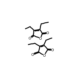 CCC1=C(CC)C(=O)OC1=O.CCC1=C(CC)C(=O)OC1=O